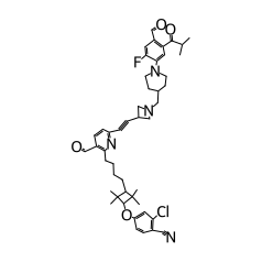 CC(C)C(=O)c1cc(N2CCC(CN3CC(C#Cc4ccc(C=O)c(CCCCC5C(C)(C)C(Oc6ccc(C#N)c(Cl)c6)C5(C)C)n4)C3)CC2)c(F)cc1C=O